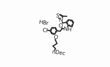 Br.CCCCCCCCCCCCCCOc1cc(Cl)ccc1CC(=O)Nc1ccccc1CN1CSC=C1C